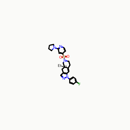 CC[C@]12Cc3cnn(-c4ccc(F)cc4)c3C=C1CCN(S(=O)(=O)c1ccnc(N3CCCC3)c1)C2